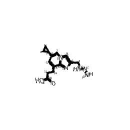 N=NNCc1cn2cc(C3CC3)cc(CCC(=O)O)c2n1